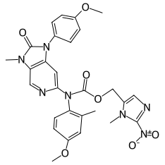 COc1ccc(-n2c(=O)n(C)c3cnc(N(C(=O)OCc4cnc([N+](=O)[O-])n4C)c4ccc(OC)cc4C)cc32)cc1